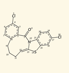 O=C1c2cc(Cl)ccc2CCC/C=C2\Sc3cc(Cl)ccc3N12